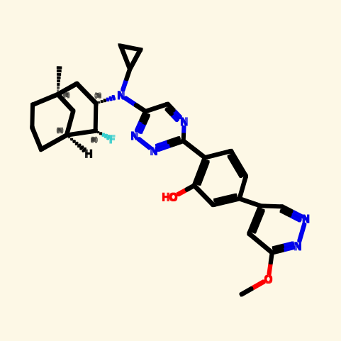 COc1cc(-c2ccc(-c3ncc(N(C4CC4)[C@H]4C[C@]5(C)CCC[C@@H](C5)[C@H]4F)nn3)c(O)c2)cnn1